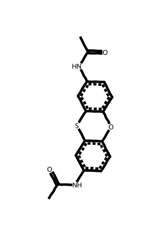 CC(=O)Nc1ccc2c(c1)Sc1cc(NC(C)=O)ccc1O2